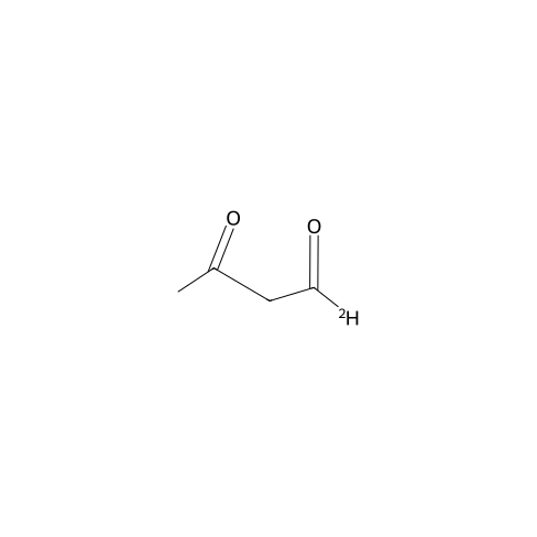 [2H]C(=O)CC(C)=O